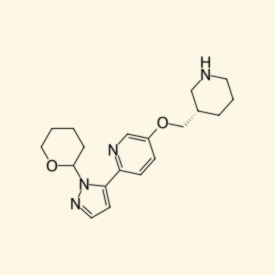 c1cc(-c2ccc(OC[C@H]3CCCNC3)cn2)n(C2CCCCO2)n1